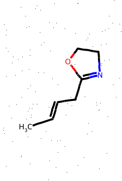 CC=CCC1=NCCO1